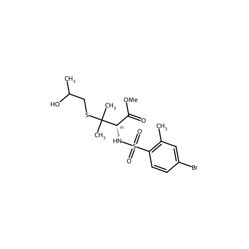 COC(=O)[C@H](NS(=O)(=O)c1ccc(Br)cc1C)C(C)(C)SCC(C)O